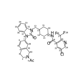 CC(=O)N1CCc2ccc(-n3c(=O)n(CC4CCC(NC(=O)c5cc(Cl)cnc5C(F)F)CC4)c4ccccc43)cc2C1